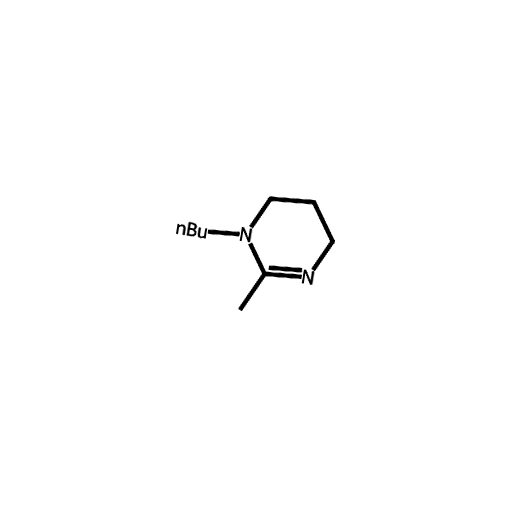 [CH2]CCCN1CCCN=C1C